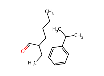 CC(C)c1ccccc1.CCCCC(C=O)CC